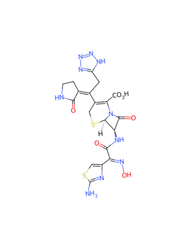 Nc1nc(C(=NO)C(=O)N[C@@H]2C(=O)N3C(C(=O)O)=C(C(Cc4nnn[nH]4)=C4CCNC4=O)CS[C@H]23)cs1